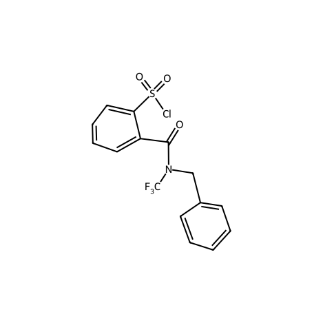 O=C(c1ccccc1S(=O)(=O)Cl)N(Cc1ccccc1)C(F)(F)F